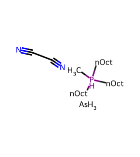 CCCCCCCC[PH](C)(CCCCCCCC)CCCCCCCC.N#CC#N.[AsH3]